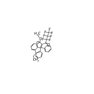 CCCc1ccccc1P(=C(C(=O)OCC)C(=O)C(F)(F)C(F)(F)C(F)(F)F)(c1ccccc1)c1ccccc1